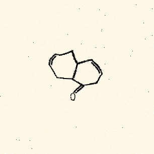 O=C1CC=CC2CC=CCC12